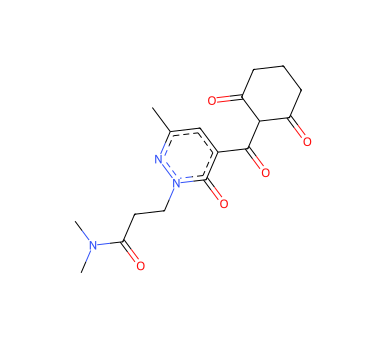 Cc1cc(C(=O)C2C(=O)CCCC2=O)c(=O)n(CCC(=O)N(C)C)n1